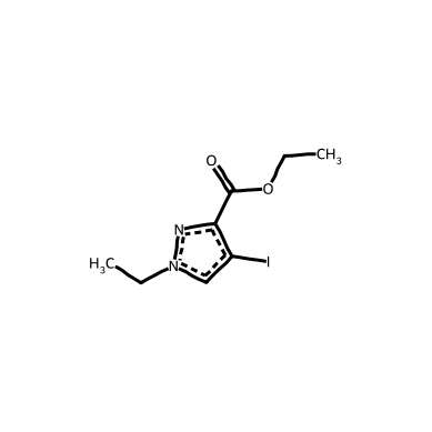 CCOC(=O)c1nn(CC)cc1I